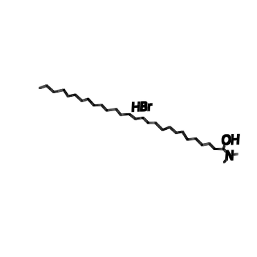 Br.CCCCCCCCCCCCCCCCCCCCCCCCCCCC(O)N(C)C